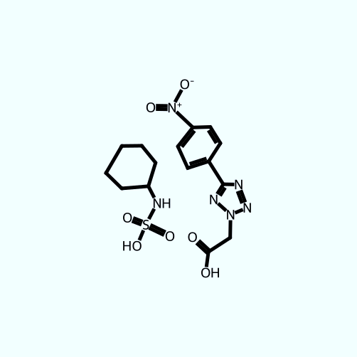 O=C(O)Cn1nnc(-c2ccc([N+](=O)[O-])cc2)n1.O=S(=O)(O)NC1CCCCC1